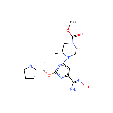 C[C@H](Oc1nc(/C(N)=N/O)cc(N2C[C@@H](C)N(C(=O)OC(C)(C)C)C[C@@H]2C)n1)[C@@H]1CCCN1C